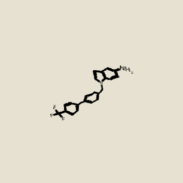 Nc1ccc2c(ccn2Cc2ccc(-c3ccc(C(F)(F)F)cc3)cc2)c1